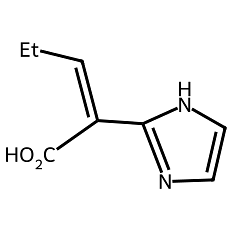 CC/C=C(\C(=O)O)c1ncc[nH]1